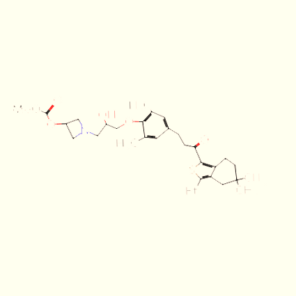 CCc1sc(C(=O)CCc2cc(C)c(OCC(O)CN3CC(OC(=O)OC)C3)c(C)c2)c2c1CC(C)(C)CC2